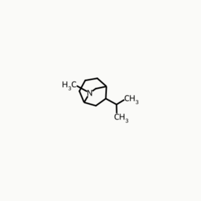 CC(C)C1CC2CCCC1CN2C